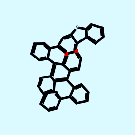 c1ccc(-c2ccccc2-c2c3ccccc3c(-c3ccccc3-c3ccc4c(c3)sc3ccccc34)c3ccccc23)cc1